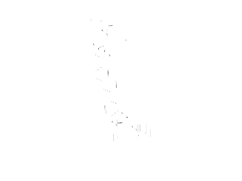 CC(C)(C)C(=O)N[C@H](c1ncc(-c2ccc3cc(-c4ccc5nc([C@@H](NC(=O)C(C)(C)C)C(C)(C)C)[nH]c5c4)ccc3c2)[nH]1)C(C)(C)C